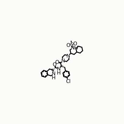 CS(=O)(=O)NCC(CC1CCCCC1)N1CCN(C(=O)[C@@H](Cc2ccc(Cl)cc2)NC(=O)[C@H]2Cc3ccccc3CN2)CC1